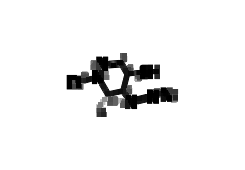 CCN1N=CC(S)C(N=[N+]=[N-])[C@@H]1C